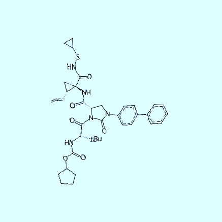 C=C[C@@H]1C[C@]1(NC(=O)[C@@H]1CN(c2ccc(-c3ccccc3)cc2)C(=O)N1C(=O)[C@@H](NC(=O)OC1CCCC1)C(C)(C)C)C(=O)NSC1CC1